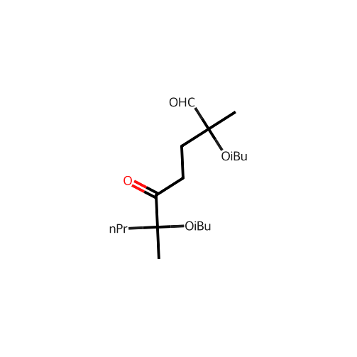 [CH2]CCC(C)(OCC(C)C)C(=O)CCC(C)(C=O)OCC(C)C